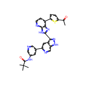 CC(=O)c1ccc(-c2ccnc3[nH]c(-c4n[nH]c5cnc(-c6cncc(NC(=O)C(C)(C)C)c6)cc45)nc23)s1